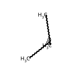 CCCCCCCCCCCCCCCCCCOCC(CC)OCCCCCCCCCCCCCCCCCC